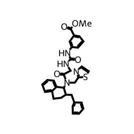 COC(=O)c1cccc(NC(=O)NCC(=O)N(Cc2nccs2)C2c3ccccc3CCC2Cc2ccccc2)c1